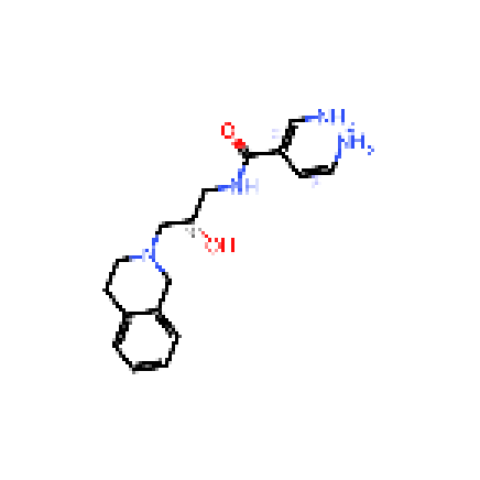 N/C=C\C(=C/N)C(=O)NC[C@H](O)CN1CCc2ccccc2C1